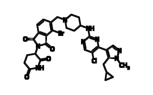 Cn1ncc(-c2nc(NC3CCN(Cc4ccc5c(c4Br)C(=O)N(C4CCC(=O)NC4=O)C5=O)CC3)ncc2Cl)c1CC1CC1